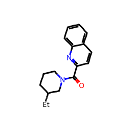 CCC1CCCN(C(=O)c2ccc3ccccc3n2)C1